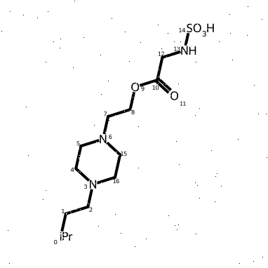 CC(C)CCN1CCN(CCOC(=O)CNS(=O)(=O)O)CC1